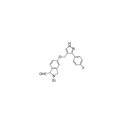 CCN1Cc2cc(OCc3c[nH]nc3-c3ccc(F)cc3)ccc2C1C=O